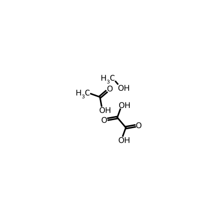 CC(=O)O.CO.O=C(O)C(=O)O